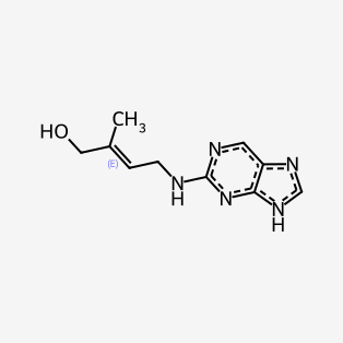 C/C(=C\CNc1ncc2nc[nH]c2n1)CO